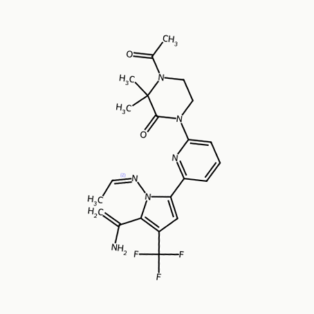 C=C(N)c1c(C(F)(F)F)cc(-c2cccc(N3CCN(C(C)=O)C(C)(C)C3=O)n2)n1/N=C\C